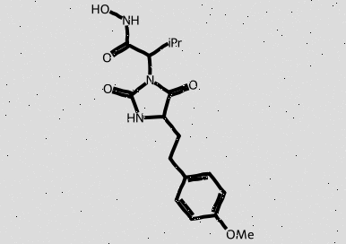 COc1ccc(CCC2NC(=O)N(C(C(=O)NO)C(C)C)C2=O)cc1